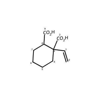 C=CC1(C(=O)O)CCCCC1C(=O)O